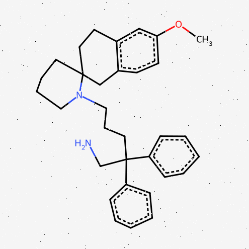 COc1ccc2c(c1)CCC1(CCCCN1CCCC(CN)(c1ccccc1)c1ccccc1)C2